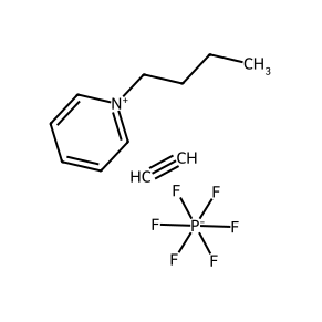 C#C.CCCC[n+]1ccccc1.F[P-](F)(F)(F)(F)F